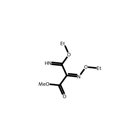 CCO/N=C(\C(=N)OCC)C(=O)OC